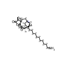 C=C1C(=O)O[C@H]2[C@H]1CC/C(COC(=O)CCCCCCCCCCCN)=C/CC[C@@]1(C)O[C@@H]21